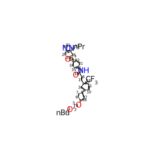 CCCCOCCOc1ccc(-c2c#cc(C(F)(F)F)c(/C=C/C(=O)Nc3ccc([S@+]([O-])Cc4c(C)ncn4CCC)cc3)c2)cc1